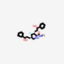 CCNC(=O)[C@H]1NC[C@@H](CCC(O)c2ccccc2)[C@H](F)[C@@H]1CCC(O)c1ccccc1